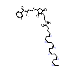 CC/C=C\C/C=C\C/C=C\C/C=C\C/C=C\C/C=C\CCC(=O)NCCN1C(=O)CC(SCCNC(=O)c2cccnc2)C1=O